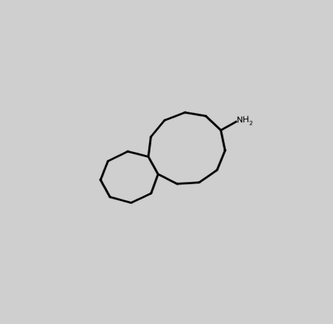 NC1CCCCC2CCCCCCC2CCCC1